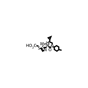 COC(CN(C(=O)Nc1ncc(SCC(=O)O)s1)C1CCC(C)CC1)C1CC1